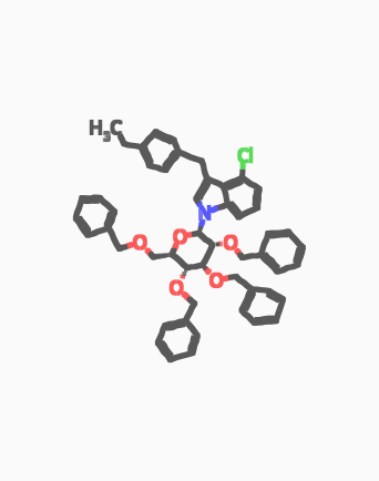 CCc1ccc(Cc2cn([C@@H]3O[C@H](COCc4ccccc4)[C@@H](OCc4ccccc4)[C@H](OCc4ccccc4)[C@H]3OCc3ccccc3)c3cccc(Cl)c23)cc1